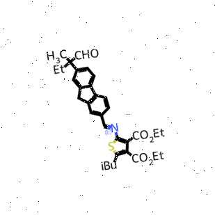 CCOC(=O)c1c(/N=C/c2ccc3c(c2)Cc2cc(C(C)(C=O)CC)ccc2-3)sc(C(C)CC)c1C(=O)OCC